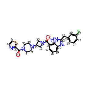 O=C(c1nccs1)N1CCN(C2CN(C(=O)c3cccc4nc(Cc5cccc(F)c5)[nH]c34)C2)CC1